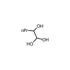 CCCC(O)C(O)O